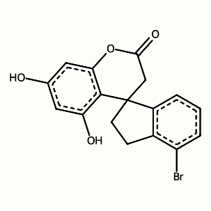 O=C1CC2(CCc3c(Br)cccc32)c2c(O)cc(O)cc2O1